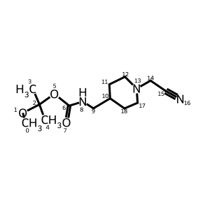 COC(C)(C)OC(=O)NCC1CCN(CC#N)CC1